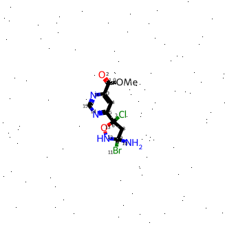 COC(=O)c1cc(C2(Cl)CC(N)(Br)NO2)ncn1